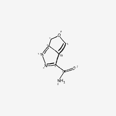 NC(=O)C1=NN=C2COC=C21